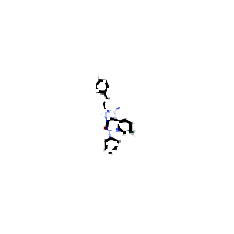 Cn1c(CCc2ccccc2)nc2c(=O)n(-c3ccccc3)c3cc(Cl)ccc3c21